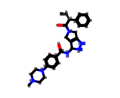 CO[C@@H](C(=O)N1CC2=C(C1)C(NC(=O)c1ccc(N3CCN(C)CC3)cc1)NN2)c1ccccc1